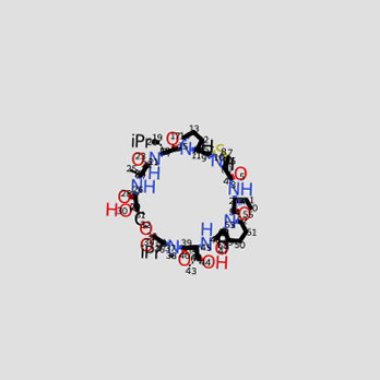 C/C=C1/NC(=O)[C@@H]2CSC(=N2)[C@@H]2CCCN2C(=O)[C@@H](CC(C)C)NC(=O)[C@H](C)NC(=O)[C@@H](O)COC(=O)[C@H](C(C)C)N(C)C(=O)[C@H]([C@@H](C)O)NC(=O)[C@@H]2CCCCN2C1=O